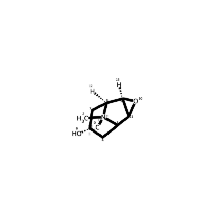 C[N+]1(C)C2C[C@H](O)C[C@H]1[C@H]1OC21